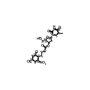 Cc1cn([C@H]2CC(OC(=O)OCCc3c(Cl)cc(Cl)cc3[N+](=O)[O-])[C@@H](CO)O2)c(=O)[nH]c1=O